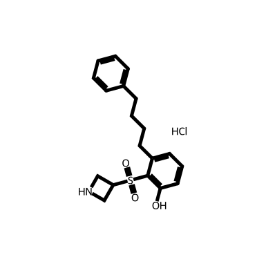 Cl.O=S(=O)(c1c(O)cccc1CCCCc1ccccc1)C1CNC1